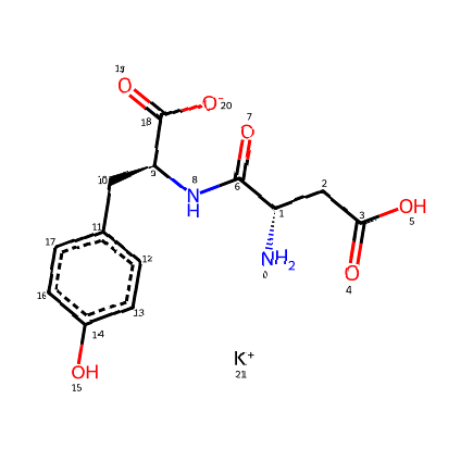 N[C@@H](CC(=O)O)C(=O)N[C@@H](Cc1ccc(O)cc1)C(=O)[O-].[K+]